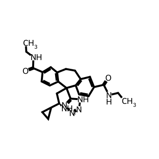 CCNC(=O)c1ccc2c(c1)CCc1cc(C(=O)NCC)ccc1C2(C[C@@H](N)C1CC1)c1nnn[nH]1